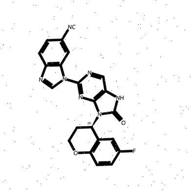 [C-]#[N+]c1ccc2ncn(-c3ncc4[nH]c(=O)n([C@@H]5CCOc6ccc(F)cc65)c4n3)c2c1